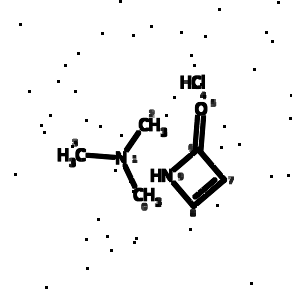 CN(C)C.Cl.O=C1C=CN1